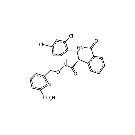 O=C(O)c1cccc(CONC(=O)[C@@H]2c3ccccc3C(=O)N[C@H]2c2ccc(Cl)cc2Cl)n1